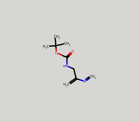 C=NC(=C)CNC(=O)OC(C)(C)C